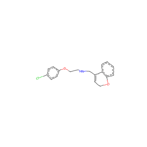 Clc1ccc(OCCNCC2=CCOc3ccccc32)cc1